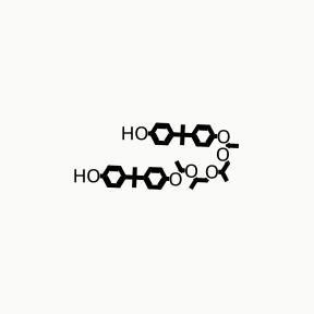 CC(COC(C)Oc1ccc(C(C)(C)c2ccc(O)cc2)cc1)OCC(C)OC(C)Oc1ccc(C(C)(C)c2ccc(O)cc2)cc1